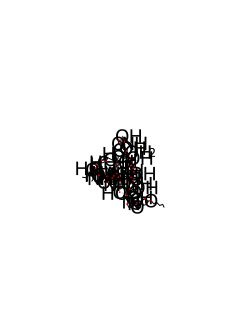 CCCCCOc1ccc(S(=O)(=O)N2CCCN(CC3=C(O)CC4C(C5=C[C@H](CC[C@H]5O)[C@H]5NC(=O)[C@@H]6NC(=O)[C@H](CC(N)=O)NC(=O)[C@H](NC(=O)[C@@H](CC(C)C)NC)[C@H](O)[C@H]7C=C[C@@H](Oc8cc6cc(c8O[C@@H]6C[C@H](CO)[C@@H](O)[C@H](O)[C@H]6O[C@H]6C[C@](C)(N)[C@H](O)[C@H](C)O6)O[C@@H]6CC[C@@H](C=C6Cl)[C@@H](O)[C@H](NC5=O)C(=O)N[C@@H]4C(=O)O)[C@H](C)C7)[C@H]3O)C2)cc1